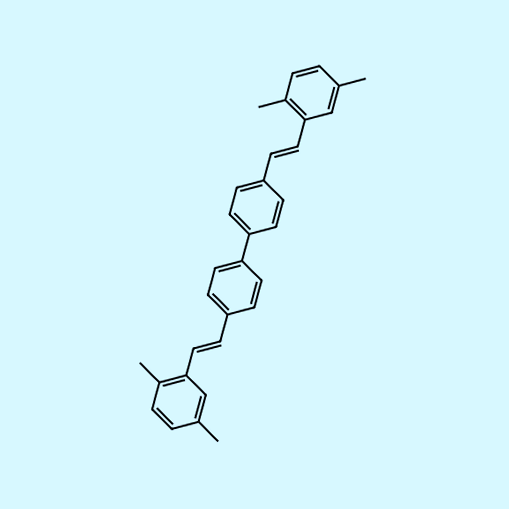 Cc1ccc(C)c(/C=C/c2ccc(-c3ccc(/C=C/c4cc(C)ccc4C)cc3)cc2)c1